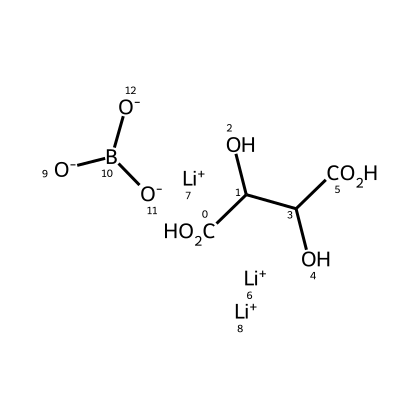 O=C(O)C(O)C(O)C(=O)O.[Li+].[Li+].[Li+].[O-]B([O-])[O-]